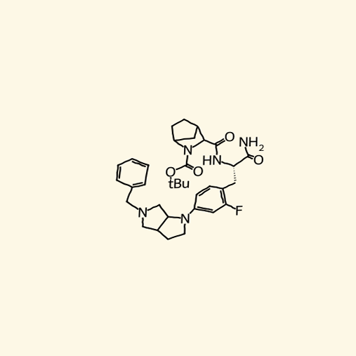 CC(C)(C)OC(=O)N1C2CCC(C2)C1C(=O)N[C@@H](Cc1ccc(N2CCC3CN(Cc4ccccc4)CC32)cc1F)C(N)=O